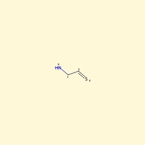 [NH]CC=S